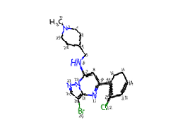 CN1CCC(CNc2cc(C3=C(Cl)C=CCC3)nc3c(Br)cnn23)CC1